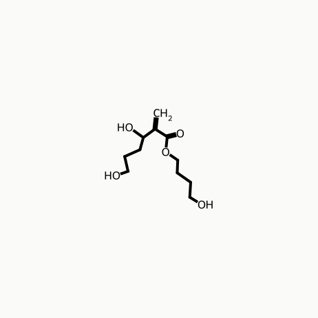 C=C(C(=O)OCCCCO)C(O)CCCO